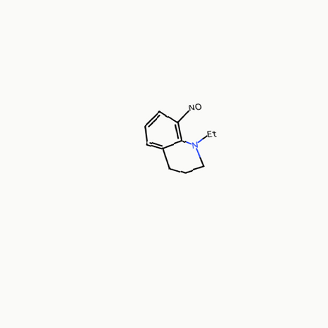 CCN1CCCc2cccc(N=O)c21